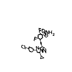 NS(=O)(=O)c1cc(C#Cc2cnn3c(C4CC4)cc(-c4ccc(Cl)cc4)nc23)c(F)cc1F